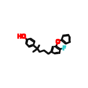 CC(C)(CCCc1ccc(F)c(Oc2ccccc2)c1)c1ccc(O)cc1